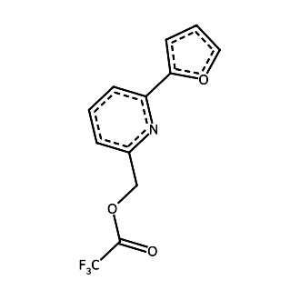 O=C(OCc1cccc(-c2ccco2)n1)C(F)(F)F